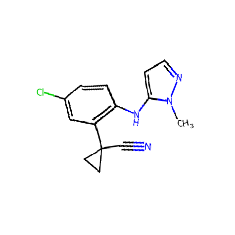 Cn1nccc1Nc1ccc(Cl)cc1C1(C#N)CC1